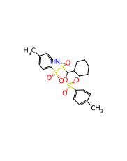 Cc1ccc(S(=O)(=O)OC(C2CCCCC2)S(=N)(=O)S(=O)(=O)c2ccc(C)cc2)cc1